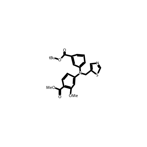 COC(=O)c1ccc(N(Cc2cncs2)c2cccc(C(=O)OC(C)(C)C)c2)cc1OC